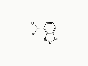 CC(Br)c1cccc2[nH]nnc12